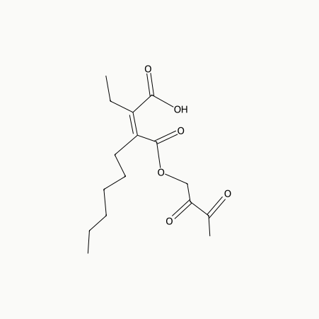 CCCCCC/C(C(=O)OCC(=O)C(C)=O)=C(\CC)C(=O)O